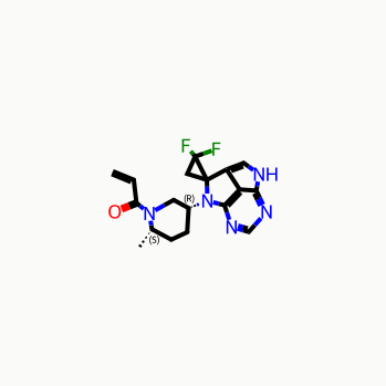 C=CC(=O)N1C[C@H](N2c3ncnc4[nH]cc(c34)C23CC3(F)F)CC[C@@H]1C